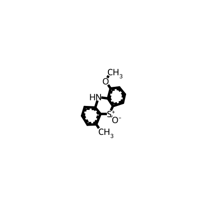 COc1cccc2c1Nc1cccc(C)c1[S+]2[O-]